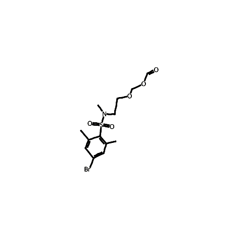 Cc1cc(Br)cc(C)c1S(=O)(=O)N(C)CCOCOC=O